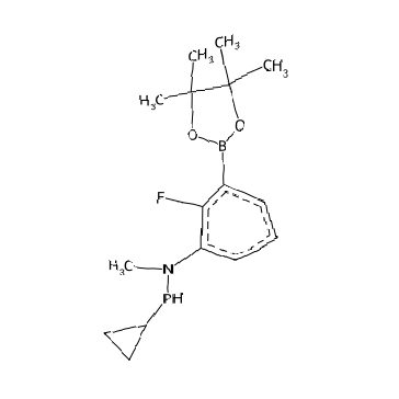 CN(PC1CC1)c1cccc(B2OC(C)(C)C(C)(C)O2)c1F